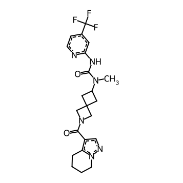 CN(C(=O)Nc1cc(C(F)(F)F)ccn1)C1CC2(C1)CN(C(=O)c1cnn3c1CCCC3)C2